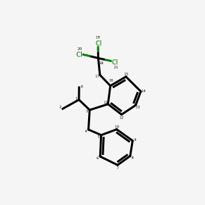 CC(C)[C](Cc1ccccc1)c1ccccc1CC(Cl)(Cl)Cl